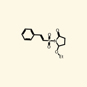 CCOC1CCC(=O)N1S(=O)(=O)C=Cc1ccccc1